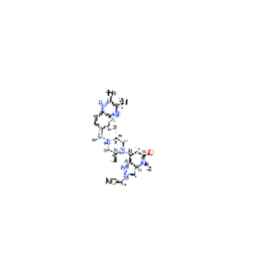 [2H]c1nc2ccc(C(C)N3C[C@H](C)N(c4cc(=O)n(C)c5cn(CC#N)nc45)C[C@H]3C)cc2nc1[2H]